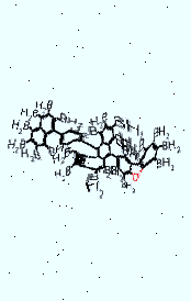 Bc1c(B)c(B)c2c(oc3c(B)c(B)c(-c4c5c(B)c(B)c(B)c(B)c5c(-c5ccc(-c6c(B)c(B)c(B)c7c(B)c(B)c(B)c(B)c67)cc5)c5c(B)c(B)c(B)c(B)c45)c(B)c32)c1B